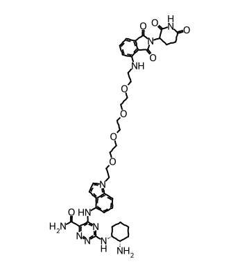 NC(=O)c1nnc(N[C@@H]2CCCC[C@@H]2N)nc1Nc1cccc2c1ccn2CCOCCOCCOCCOCCNc1cccc2c1C(=O)N(C1CCC(=O)NC1=O)C2=O